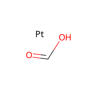 O=CO.[Pt]